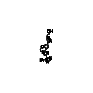 CC(C)n1ncnc1-c1cn2c(n1)-c1ccc(-c3cn(CCO)cn3)cc1OCC2